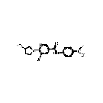 O=C(Nc1ccc([S+]([O-])C(F)(F)F)cc1)c1cnc(N2CC[C@@H](O)C2)c(Br)c1